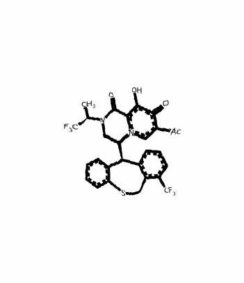 CC(=O)c1cn2c(c(O)c1=O)C(=O)N([C@H](C)C(F)(F)F)CC2[C@@H]1c2ccccc2SCc2c1cccc2C(F)(F)F